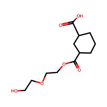 O=C(O)C1CCCC(C(=O)OCCOCCO)C1